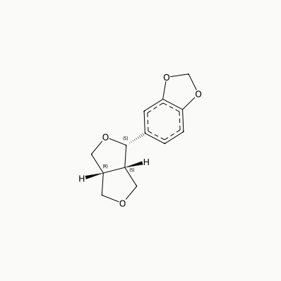 c1cc2c(cc1[C@H]1OC[C@H]3COC[C@H]31)OCO2